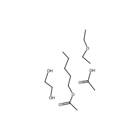 CC(=O)O.CCCCCOC(C)=O.CCOCC.OCCO